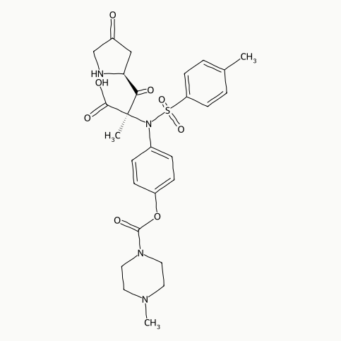 Cc1ccc(S(=O)(=O)N(c2ccc(OC(=O)N3CCN(C)CC3)cc2)[C@@](C)(C(=O)O)C(=O)[C@@H]2CC(=O)CN2)cc1